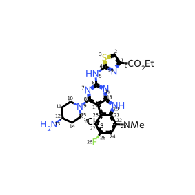 CCOC(=O)c1csc(Nc2nc(N3CC[C@H](N)C[C@H]3C)c3c(n2)[nH]c2c(NC)cc(F)cc23)n1